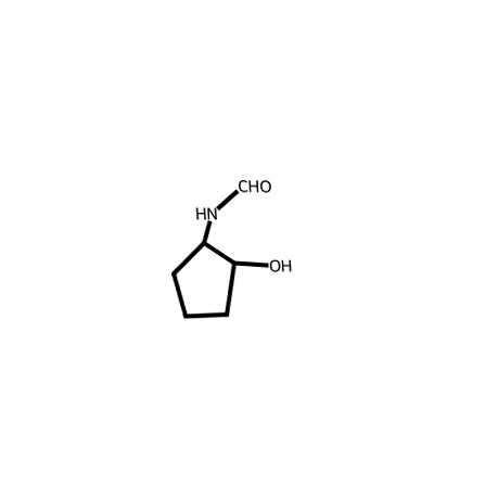 O=CNC1CCCC1O